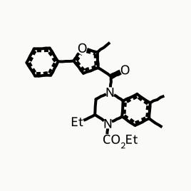 CCOC(=O)N1c2cc(C)c(C)cc2N(C(=O)c2cc(-c3ccccc3)oc2C)CC1CC